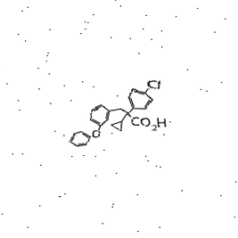 O=C(O)C(Cc1cccc(Oc2ccccc2)c1)(c1ccc(Cl)cc1)C1CC1